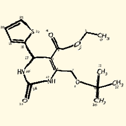 CCOC(=O)C1=C(COC(C)(C)C)NC(=O)NC1c1cccs1